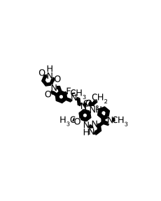 C=CC(=O)Nc1cc(Nc2nccc(-c3cn(C)c4ccccc34)n2)c(OC)cc1N(C)CCN(C)Cc1ccc2c(c1F)CN(C1CCC(=O)NC1=O)C2=O